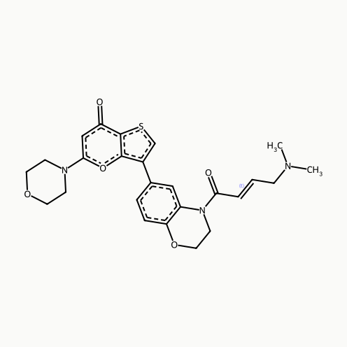 CN(C)C/C=C/C(=O)N1CCOc2ccc(-c3csc4c(=O)cc(N5CCOCC5)oc34)cc21